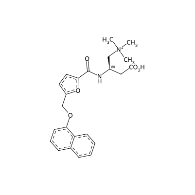 C[N+](C)(C)C[C@@H](CC(=O)O)NC(=O)c1ccc(COc2cccc3ccccc23)o1